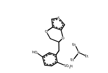 CCN(CC)CC.O=S(=O)(O)c1ccc(O)cc1CC1COc2cscc2O1